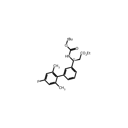 CCOC(=O)C[C@H](NC(=O)OC(C)(C)C)c1cccc(-c2c(C)cc(F)cc2C)c1